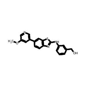 COc1cncc(-c2ccc3nc(Nc4cccc(CO)c4)sc3c2)c1